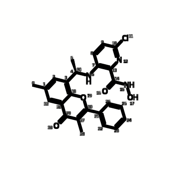 Cc1cc([C@@H](C)Nc2ccc(Cl)nc2C(=O)NO)c2oc(-c3ccccc3)c(C)c(=O)c2c1